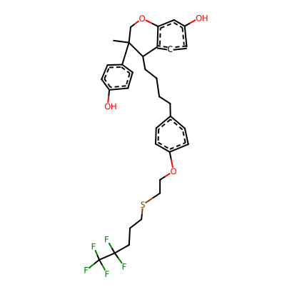 CC1(c2ccc(O)cc2)COc2cc(O)ccc2C1CCCCc1ccc(OCCSCCCC(F)(F)C(F)(F)F)cc1